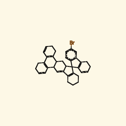 Brc1ccc2c(c1)C1=C(C=CCC1)C21C2=C(CCCC2)C2=CC3C4=C(CCC=C4)C4=C(CCC=C4)C3CC21